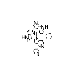 O=C(CC1CCCCC1)Nc1cncc(-c2ccc3[nH]nc(-c4cc5c(-c6cccnc6)nccc5[nH]4)c3n2)c1